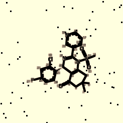 CC1(C)CC(=O)C2=C(C1)N(S(C)(=O)=O)C(c1cccnc1)=N[C@H]2c1ccc(F)cc1Cl